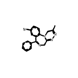 CC1=NN=C2CN=C(c3ccccc3)c3cc(Br)ccc3N2C1